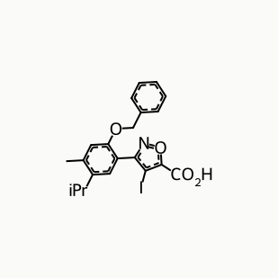 Cc1cc(OCc2ccccc2)c(-c2noc(C(=O)O)c2I)cc1C(C)C